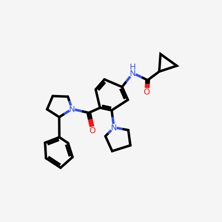 O=C(Nc1ccc(C(=O)N2CCCC2c2ccccc2)c(N2CCCC2)c1)C1CC1